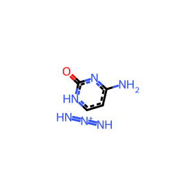 N=[N+]=N.Nc1cc[nH]c(=O)n1